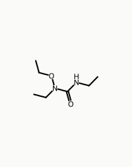 CCNC(=O)N(CC)OCC